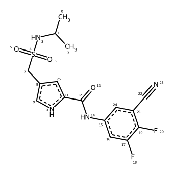 CC(C)NS(=O)(=O)Cc1c[nH]c(C(=O)Nc2cc(F)c(F)c(C#N)c2)c1